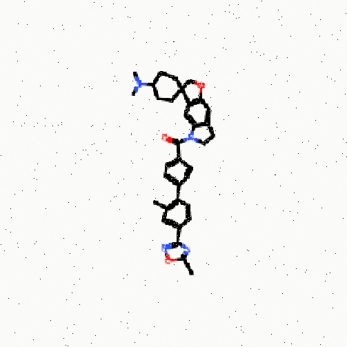 Cc1nc(-c2ccc(-c3ccc(C(=O)N4CCc5cc6c(cc54)C4(CCC(N(C)C)CC4)CO6)cc3)c(C)c2)no1